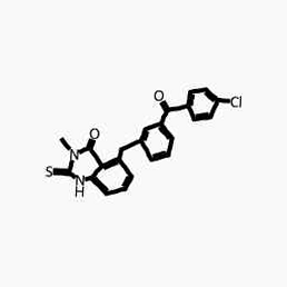 Cn1c(=S)[nH]c2cccc(Cc3cccc(C(=O)c4ccc(Cl)cc4)c3)c2c1=O